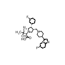 CC(C)(C)[C@H](C(=O)O)N1C[C@H](CN2CCC(c3cnc4ccc(F)cn34)CC2)[C@@H](c2cccc(F)c2)C1